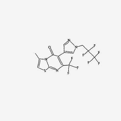 Cc1csc2nc(C(F)(F)F)c(-c3cnn(CC(F)(F)C(F)(F)F)c3)c(=O)n12